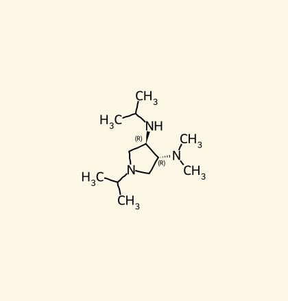 CC(C)N[C@@H]1CN(C(C)C)C[C@H]1N(C)C